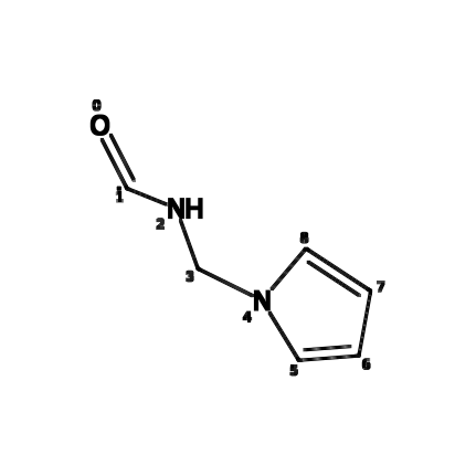 O=[C]NCn1cccc1